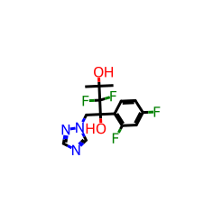 CC(C)(O)C(F)(F)C(O)(Cn1cncn1)c1ccc(F)cc1F